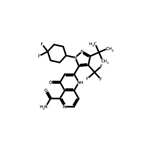 CC(C)(C)c1nn(C2CCC(F)(F)CC2)c(-c2cc(=O)c3c(C(N)=O)nccc3[nH]2)c1C(F)(F)F